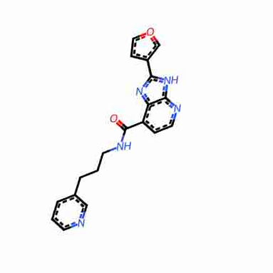 O=C(NCCCc1cccnc1)c1ccnc2[nH]c(-c3ccoc3)nc12